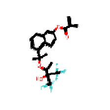 C=C(C)C(=O)Oc1ccc2c(C(C)(C)OC(C)C(O)(C(F)(F)F)C(F)(F)F)cccc2c1